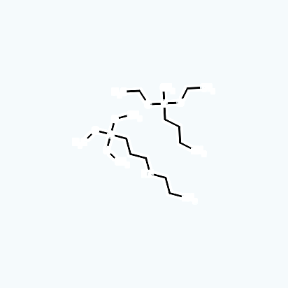 CCO[Si](C)(CCCN)OCC.CO[Si](CCCNCCN)(OC)OC